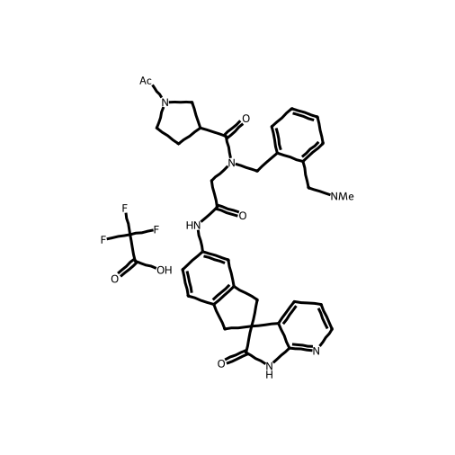 CNCc1ccccc1CN(CC(=O)Nc1ccc2c(c1)CC1(C2)C(=O)Nc2ncccc21)C(=O)C1CCN(C(C)=O)C1.O=C(O)C(F)(F)F